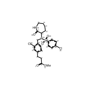 COC(=O)CCc1ccc(CN(C2CCCCNC2=O)S(=O)(=O)c2ccc(Cl)cc2)c(Cl)c1